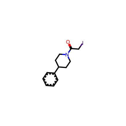 O=C(CI)N1CCC(c2ccccc2)CC1